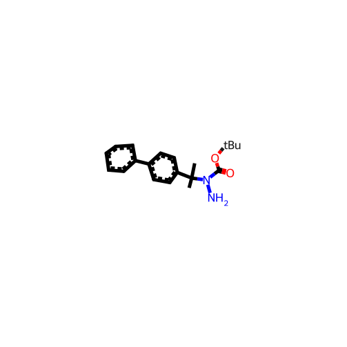 CC(C)(C)OC(=O)N(N)C(C)(C)c1ccc(-c2ccccc2)cc1